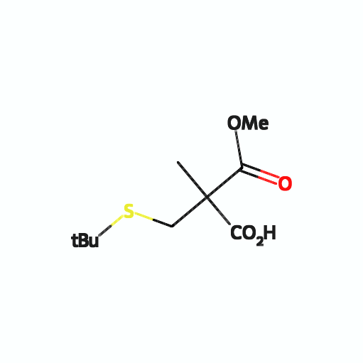 COC(=O)C(C)(CSC(C)(C)C)C(=O)O